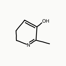 CC1=NCCC=C1O